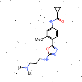 CCN(CC)CCCNc1nnc(-c2ccc(NC(=O)C3CC3)cc2OC)o1